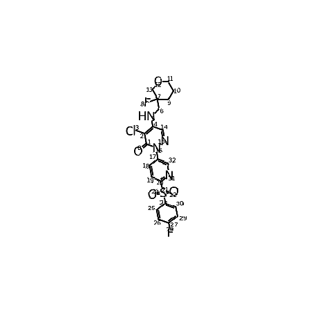 O=c1c(Cl)c(NCC2(F)CCCOC2)cnn1-c1ccc(S(=O)(=O)c2ccc(F)cc2)nc1